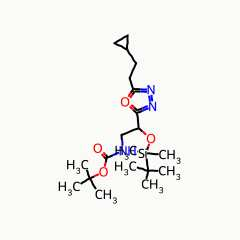 CC(C)(C)OC(=O)NCC(O[Si](C)(C)C(C)(C)C)c1nnc(CCC2CC2)o1